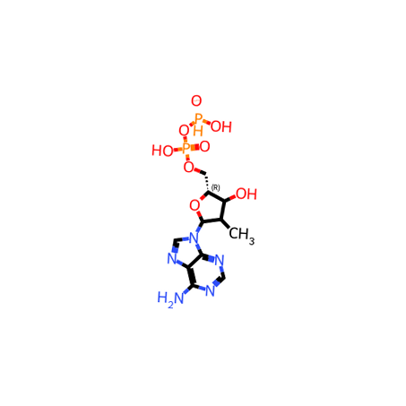 CC1C(O)[C@@H](COP(=O)(O)O[PH](=O)O)OC1n1cnc2c(N)ncnc21